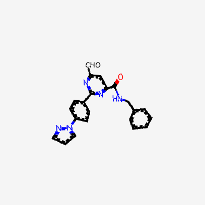 O=Cc1cc(C(=O)NCc2ccccc2)nc(-c2ccc(-n3cccn3)cc2)n1